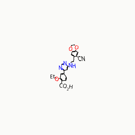 CCOc1cc(-c2cc(NCCc3cc4c(cc3C#N)OCCO4)ncn2)ccc1C(=O)O